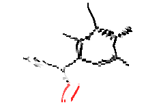 Cc1cc([SiH](O)[SiH3])c(C)c(C)c1C